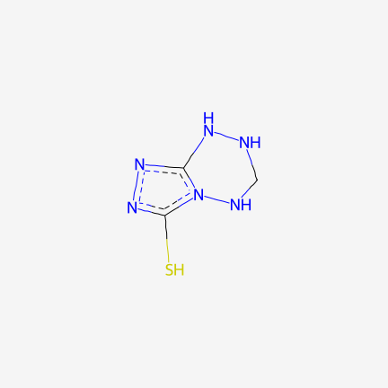 Sc1nnc2n1NCNN2